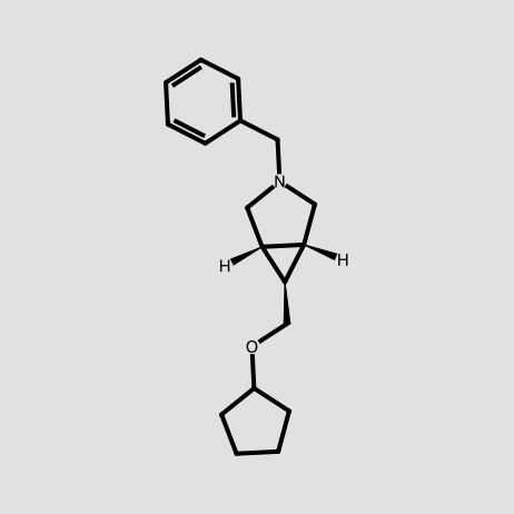 c1ccc(CN2C[C@@H]3[C@@H](COC4CCCC4)[C@@H]3C2)cc1